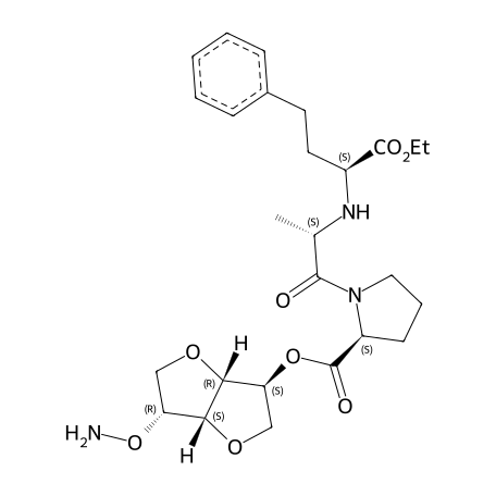 CCOC(=O)[C@H](CCc1ccccc1)N[C@@H](C)C(=O)N1CCC[C@H]1C(=O)O[C@H]1CO[C@H]2[C@@H]1OC[C@H]2ON